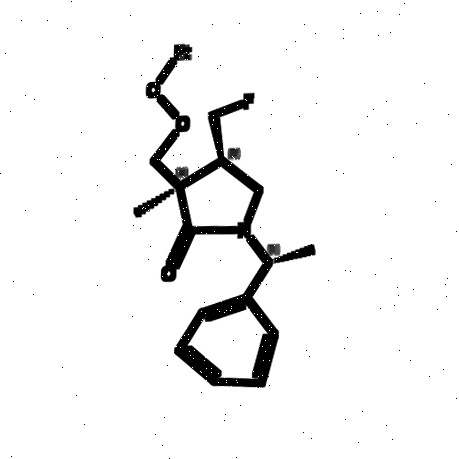 CCOOC[C@]1(C)C(=O)N([C@H](C)c2ccccc2)C[C@@H]1CF